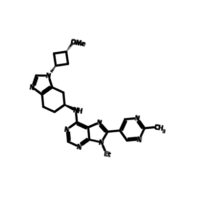 CCn1c(-c2cnc(C)nc2)nc2c(N[C@H]3CCc4ncn([C@H]5C[C@@H](OC)C5)c4C3)ncnc21